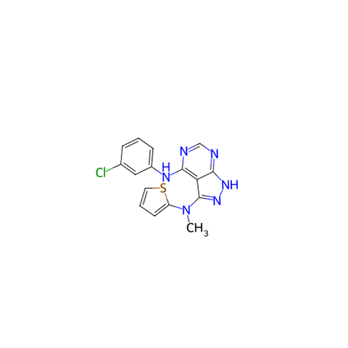 CN(c1cccs1)c1n[nH]c2ncnc(Nc3cccc(Cl)c3)c12